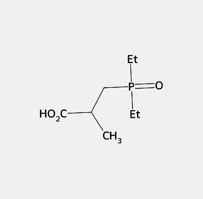 CCP(=O)(CC)CC(C)C(=O)O